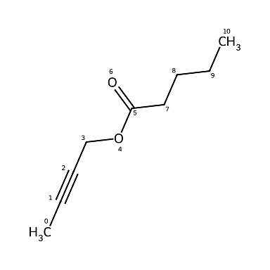 CC#CCOC(=O)CCCC